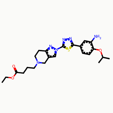 CCOC(=O)CCCN1CCc2nn(-c3nnc(-c4ccc(OC(C)C)c(N)c4)s3)cc2C1